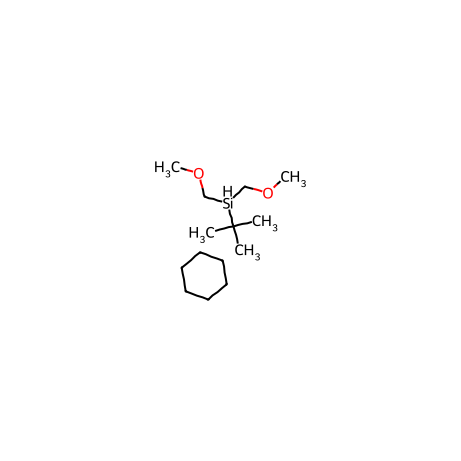 C1CCCCC1.COC[SiH](COC)C(C)(C)C